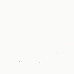 N#CN=C1NC(=O)C(=Cc2ccc3ccccc3c2)S1